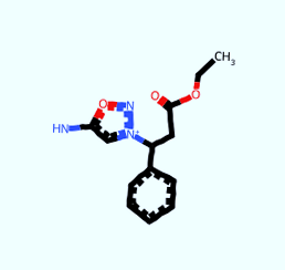 CCOC(=O)CC(c1ccccc1)[n+]1cc([NH-])on1